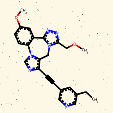 CCc1cncc(C#Cc2ncn3c2Cn2c(COC)nnc2-c2cc(OC)ccc2-3)c1